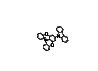 S=P12c3ccccc3Oc3cc(-n4c5ccccc5c5ccccc54)cc(c31)Oc1ccccc12